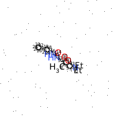 CCN(CC)c1ccc2c(C)c(CCNC(=O)NCc3ccc(-c4ccccc4)cc3)c(=O)oc2c1